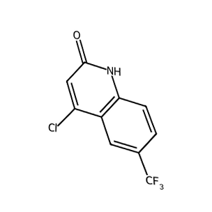 O=c1cc(Cl)c2cc(C(F)(F)F)ccc2[nH]1